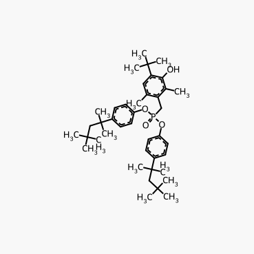 Cc1cc(C(C)(C)C)c(O)c(C)c1CP(=O)(Oc1ccc(C(C)(C)CC(C)(C)C)cc1)Oc1ccc(C(C)(C)CC(C)(C)C)cc1